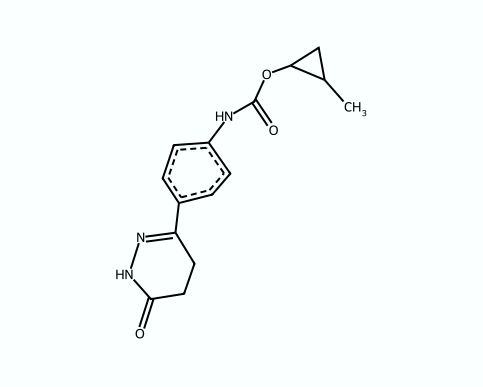 CC1CC1OC(=O)Nc1ccc(C2=NNC(=O)CC2)cc1